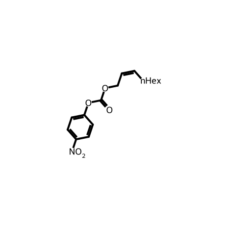 CCCCCC/C=C\COC(=O)Oc1ccc([N+](=O)[O-])cc1